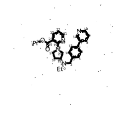 CCN(Cc1ccc(-c2cccnc2)cc1)[C@@H]1CCN(c2ncccc2C(=O)OC(C)C)C1